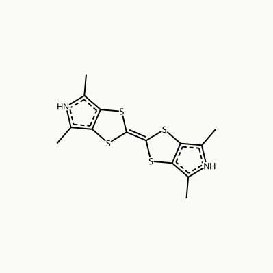 Cc1[nH]c(C)c2c1SC(=C1Sc3c(C)[nH]c(C)c3S1)S2